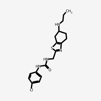 CCCNC1CCc2nc(CNC(=O)Nc3ccc(Cl)cc3)sc2C1